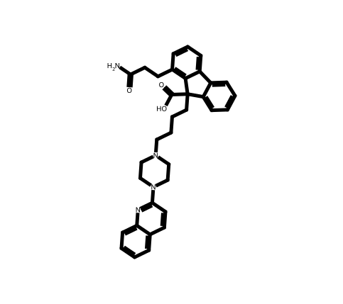 NC(=O)CCc1cccc2c1C(CCCCN1CCN(c3ccc4ccccc4n3)CC1)(C(=O)O)c1ccccc1-2